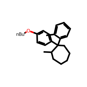 CCCCOc1ccc(C2(c3ccccc3C)CCCCCC2C)cc1